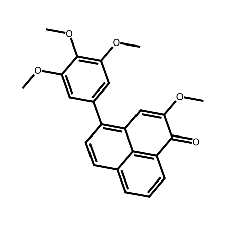 COC1=Cc2c(-c3cc(OC)c(OC)c(OC)c3)ccc3cccc(c23)C1=O